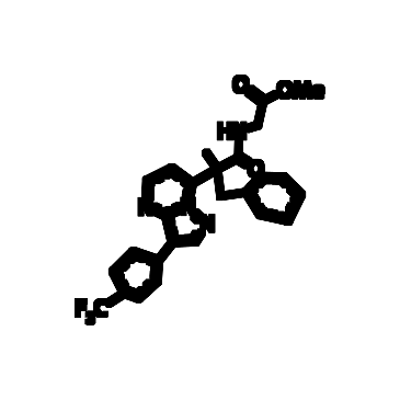 COC(=O)CNC(=O)C(C)(Cc1ccccc1)c1ccnc2c(-c3ccc(C(F)(F)F)cc3)cnn12